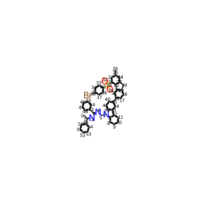 C/C(=N\C(=N/Cn1c2ccccc2c2cc(-c3ccc4c(c3)-c3c(cc(C)cc3S(=O)(=O)c3ccc(Br)cc3)C4)ccc21)c1ccccc1)c1ccccc1